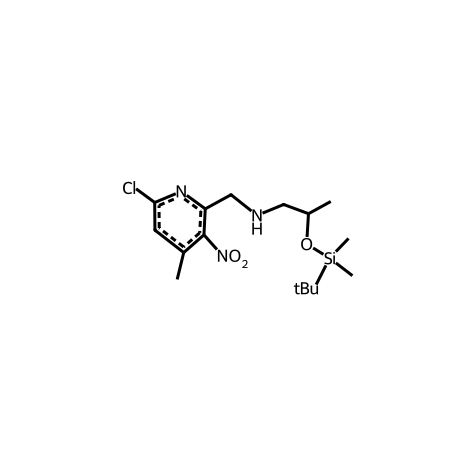 Cc1cc(Cl)nc(CNCC(C)O[Si](C)(C)C(C)(C)C)c1[N+](=O)[O-]